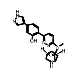 CN(c1ccc(-c2ccc(-c3cn[nH]c3)cc2O)nn1)[C@@H]1CC2CC[C@@H](CN2)C1